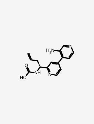 C=CC[C@H](NC(=O)O)c1cc(-c2ccncc2N)ccn1